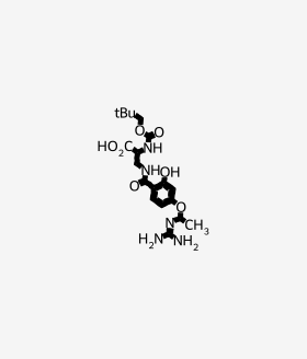 CC(N=C(N)N)Oc1ccc(C(=O)NCC(NC(=O)OCC(C)(C)C)C(=O)O)c(O)c1